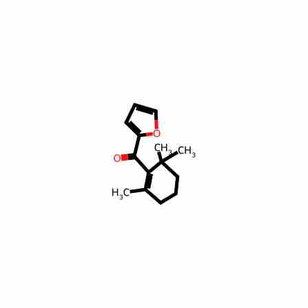 CC1=C(C(=O)c2ccco2)C(C)(C)CCC1